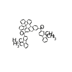 CC1(C)c2ccccc2-c2ccc(C(=O)c3ccc4c(c3)Cc3cc(C(=O)c5ccc6c(c5)C(C)(C)c5ccccc5-6)cc5c3C4c3ccccc3C5(c3ccccc3)c3ccccc3)cc21